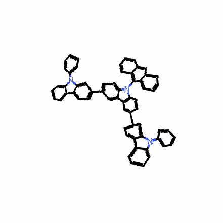 c1ccc(-n2c3ccccc3c3ccc(-c4ccc5c(c4)c4cc(-c6ccc7c8ccccc8n(-c8ccccc8)c7c6)ccc4n5-c4c5ccccc5cc5ccccc45)cc32)cc1